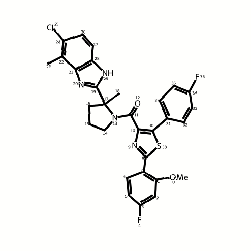 COc1cc(F)ccc1-c1nc(C(=O)N2CCCC2(C)c2nc3c(C)c(Cl)ccc3[nH]2)c(-c2ccc(F)cc2)s1